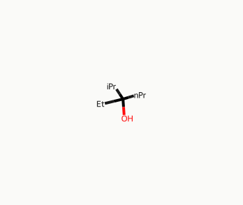 CCCC(O)(CC)C(C)C